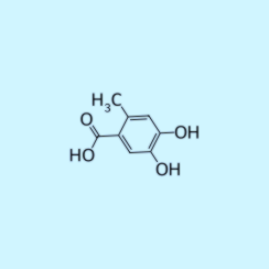 Cc1cc(O)c(O)cc1C(=O)O